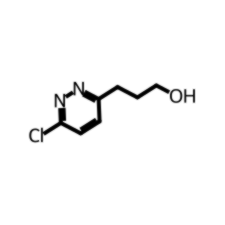 OCCCc1ccc(Cl)nn1